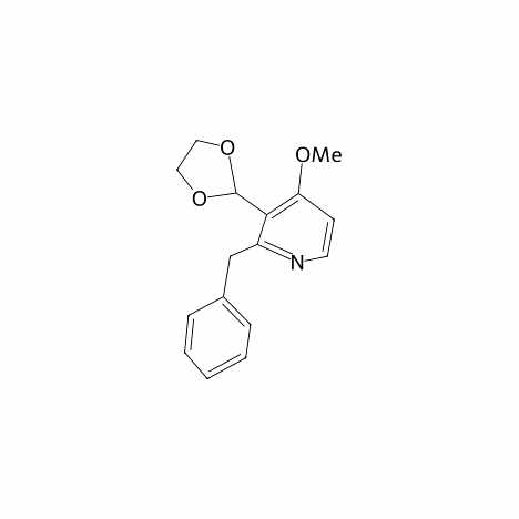 COc1ccnc(Cc2ccccc2)c1C1OCCO1